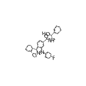 C[C@@H](NC(=O)c1ccc2c(-c3ccccc3Cl)nn(-c3ccc(F)cc3)c2c1)[C@@H](O)c1ccccc1